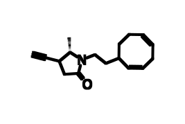 C#CC1CC(=O)N(CCC2/C=C\CC=CCC2)[C@H]1C